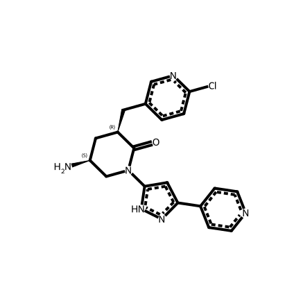 N[C@H]1C[C@@H](Cc2ccc(Cl)nc2)C(=O)N(c2cc(-c3ccncc3)n[nH]2)C1